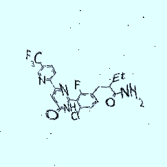 CCC(Cc1ccc(Cl)c(-c2nc(-c3ccc(C(F)(F)F)cn3)cc(=O)[nH]2)c1F)C(N)=O